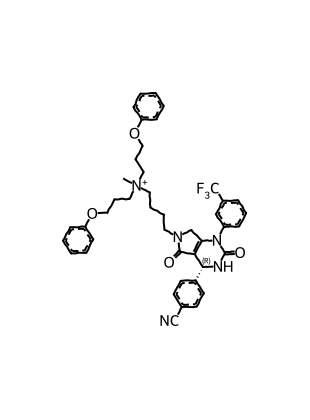 C[N+](CCCCN1CC2=C(C1=O)[C@@H](c1ccc(C#N)cc1)NC(=O)N2c1cccc(C(F)(F)F)c1)(CCCOc1ccccc1)CCCOc1ccccc1